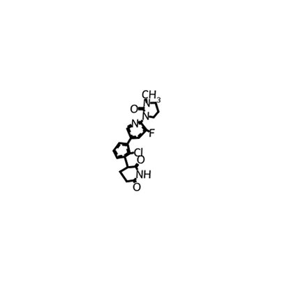 CN1CCCN(c2ncc(-c3cccc(C4CCC(=O)NC4=O)c3Cl)cc2F)C1=O